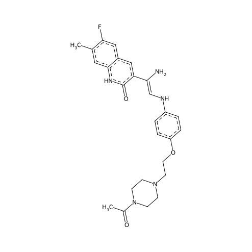 CC(=O)N1CCN(CCOc2ccc(N/C=C(\N)c3cc4cc(F)c(C)cc4[nH]c3=O)cc2)CC1